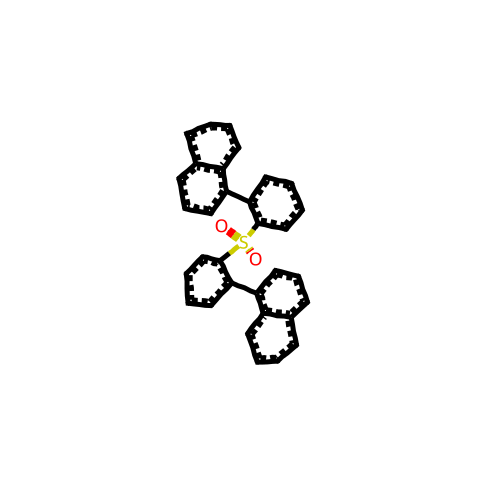 O=S(=O)(c1ccccc1-c1cccc2ccccc12)c1ccccc1-c1cccc2ccccc12